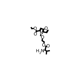 CCOC(=O)c1cc2occc2n1COCCOC(=O)[C@H](N)C(C)C